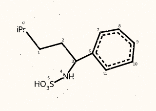 CC(C)CCC(NS(=O)(=O)O)c1ccccc1